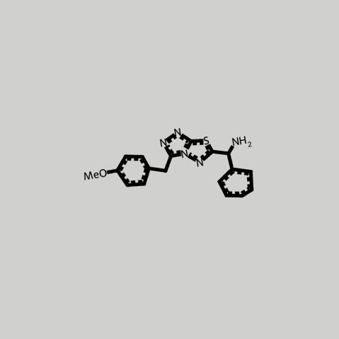 COc1ccc(Cc2nnc3sc(C(N)c4ccccc4)nn23)cc1